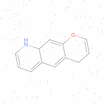 C1=CNC2C=C3OC=CCC3=CC2=C1